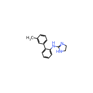 Cc1cccc(-c2ccccc2NC2=NCCN2)c1